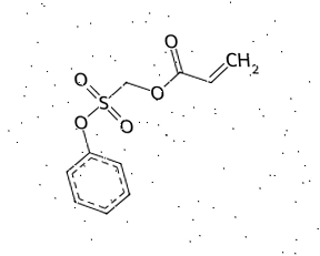 C=CC(=O)OCS(=O)(=O)Oc1ccccc1